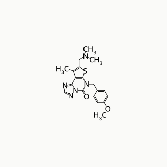 COc1ccc(Cn2c(=O)n3ncnc3c3c(C)c(CN(C)C)sc32)cc1